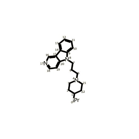 CC(C)C1CCN(CCCn2c3ccccc3c3cnccc32)CC1